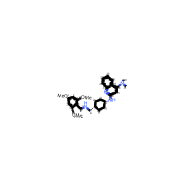 COc1cc(OC)c(CNC[C@H]2CC[C@@H](Nc3cc(N(C)C)c4ccccc4n3)CC2)c(OC)c1